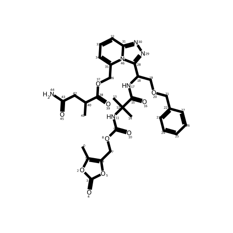 Cc1oc(=O)oc1COC(=O)NC(C)(C)C(=O)NC(COCc1ccccc1)c1nnc2cccc(COC(=O)C(C)CC(N)=O)n12